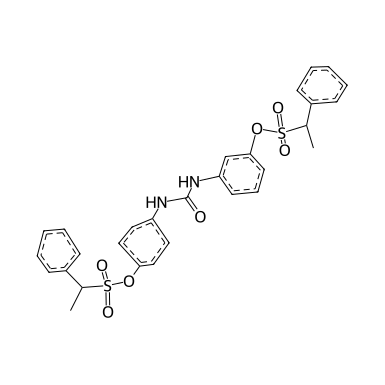 CC(c1ccccc1)S(=O)(=O)Oc1ccc(NC(=O)Nc2cccc(OS(=O)(=O)C(C)c3ccccc3)c2)cc1